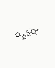 Cc1cc([S+]([O-])Nc2nsc(-c3ccccc3)n2)c(C)cc1Cl